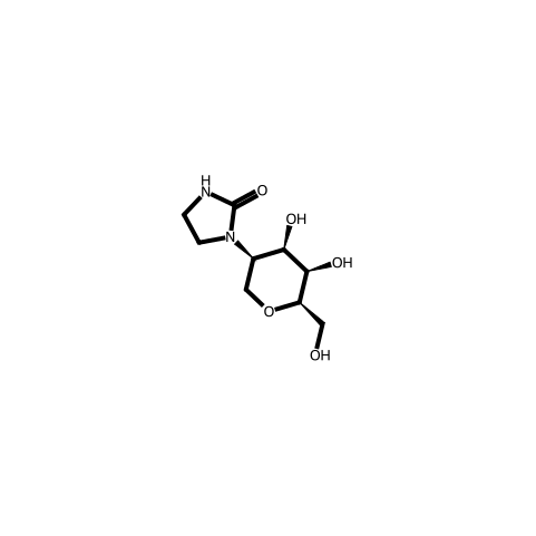 O=C1NCCN1[C@@H]1CO[C@H](CO)[C@H](O)[C@@H]1O